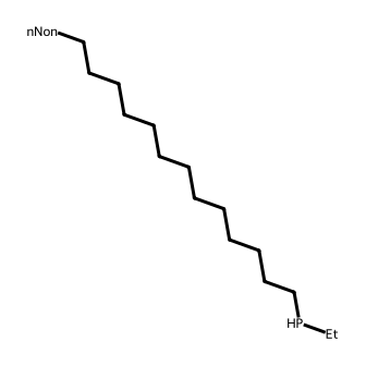 CCCCCCCCCCCCCCCCCCCCCCPCC